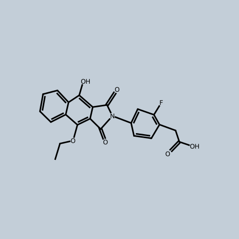 CCOc1c2c(c(O)c3ccccc13)C(=O)N(c1ccc(CC(=O)O)c(F)c1)C2=O